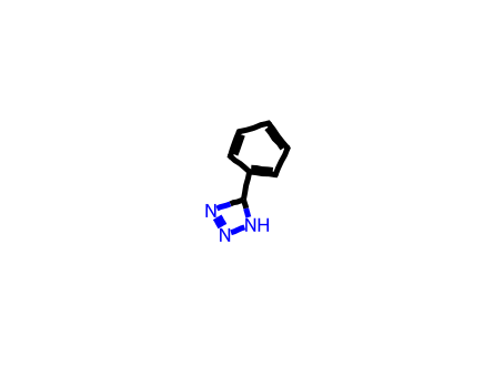 c1ccc(C2N=NN2)cc1